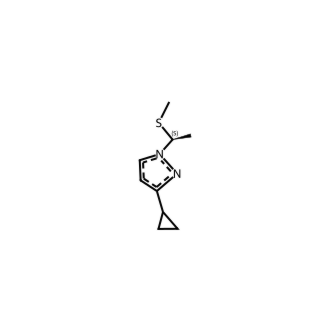 CS[C@@H](C)n1ccc(C2CC2)n1